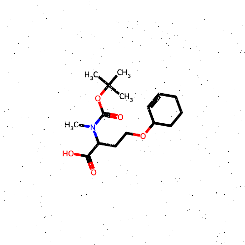 CN(C(=O)OC(C)(C)C)C(CCOC1C=CCCC1)C(=O)O